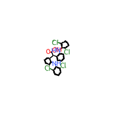 O=C(O)C(c1ccccc1Nc1c(Cl)cccc1Cl)c1ccccc1Nc1c(Cl)cccc1Cl